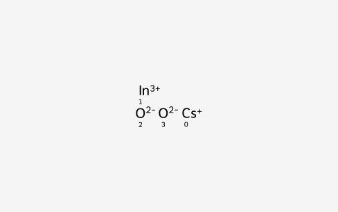 [Cs+].[In+3].[O-2].[O-2]